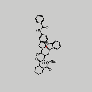 CC(C)(C)OC(=O)N1CCCCC1C(=O)NC(Cc1c[nH]c2ccccc12)C(=O)N1Cc2ccc(NC(=O)c3ccccc3)cc2C1